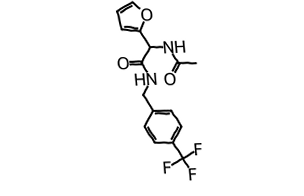 CC(=O)NC(C(=O)NCc1ccc(C(F)(F)F)cc1)c1ccco1